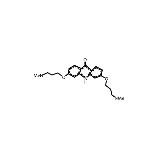 CNCCCOc1ccc2c(=O)c3ccc(OCCCNC)cc3[nH]c2c1